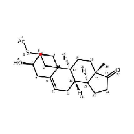 CC(=O)SCC[C@]12CC[C@H](O)CC1=CC[C@@H]1[C@@H]2CC[C@]2(C)C(=O)CC[C@@H]12